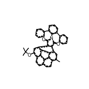 Cc1cc2c3c(=O)n(-c4c(-c5ccccc5)cccc4-c4ccccc4)c(=O)c3c3cc(OC(C)(C)C)c4ccc5ccc1c1c5c4c3c21